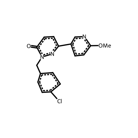 COc1ccc(-c2ccc(=O)n(Cc3ccc(Cl)cc3)n2)cn1